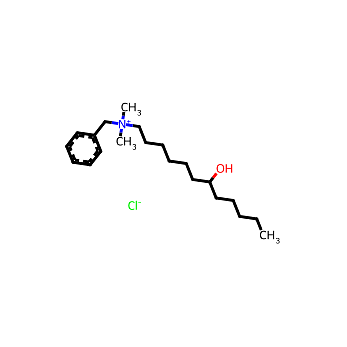 CCCCCC(O)CCCCCC[N+](C)(C)Cc1ccccc1.[Cl-]